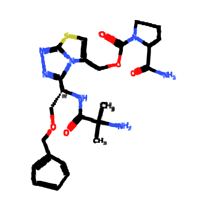 CC(C)(N)C(=O)N[C@H](COCc1ccccc1)c1nnc2scc(COC(=O)N3CCCC3C(N)=O)n12